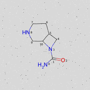 NC(=O)N1CC2CCNCC21